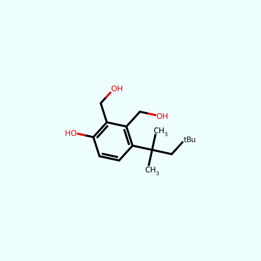 CC(C)(C)CC(C)(C)c1ccc(O)c(CO)c1CO